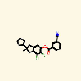 CC1(C2CCCC2)Cc2cc(OC(=O)c3cccc(C#N)c3)c(Cl)c(Cl)c2C1